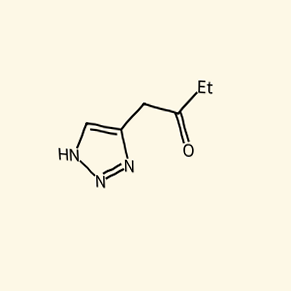 CCC(=O)Cc1c[nH]nn1